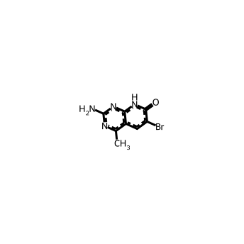 Cc1nc(N)nc2[nH]c(=O)c(Br)cc12